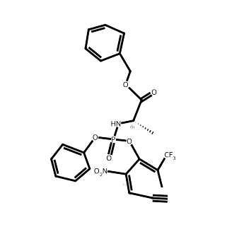 C#C/C=C(\C(OP(=O)(N[C@@H](C)C(=O)OCc1ccccc1)Oc1ccccc1)=C(/C)C(F)(F)F)[N+](=O)[O-]